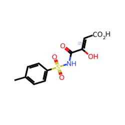 Cc1ccc(S(=O)(=O)NC(=O)/C(O)=C/C(=O)O)cc1